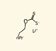 CCCCCOC(=S)[S-].[Li+]